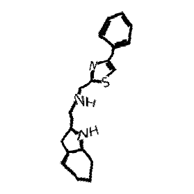 c1ccc(-c2csc(CNCC3CC4CCCCC4N3)n2)cc1